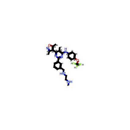 CNCCNCc1cccc(-c2nc(Nc3ccc(OC(F)(F)F)cc3)c(C)c(-c3c(C)noc3C)n2)c1